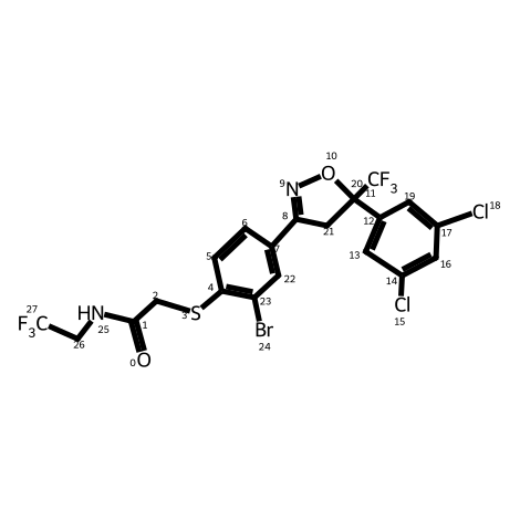 O=C(CSc1ccc(C2=NOC(c3cc(Cl)cc(Cl)c3)(C(F)(F)F)C2)cc1Br)NCC(F)(F)F